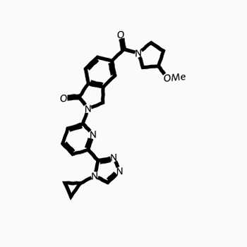 COC1CCN(C(=O)c2ccc3c(c2)CN(c2cccc(-c4nncn4C4CC4)n2)C3=O)C1